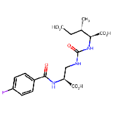 C[C@@H](CC(=O)O)[C@H](NC(=O)NC[C@H](NC(=O)c1ccc(I)cc1)C(=O)O)C(=O)O